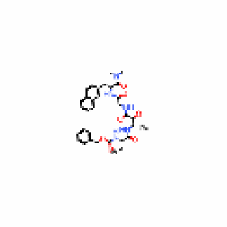 CC[C@H](C)C(NC(=O)[C@H](CC(C)C)NC(=O)OCc1ccccc1)C(=O)C(=O)NCC(=O)N[C@@H](Cc1ccc2ccccc2c1)C(=O)N(C)C